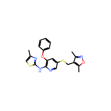 Cc1csc(Nc2ncc(SCc3c(C)noc3C)cc2Oc2ccccc2)n1